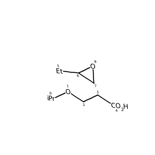 CC(C)OCCC(=O)O.CCC1CO1